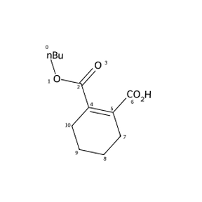 CCCCOC(=O)C1=C(C(=O)O)CCCC1